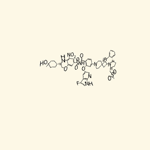 CC(C)c1ccccc1[C@@H]1CC[C@H](CS(C)(=O)=O)N1C1CC2(CCN(c3ccc(C(=O)NS(=O)(=O)c4cc5c(c([N+](=O)[O-])c4)N[C@@H](C4CCC(C)(O)CC4)CO5)c(Oc4cnc5[nH]cc(F)c5c4)c3)CC2)C1